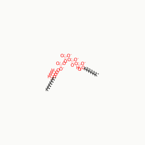 O.O.O.O.O.[K+].[K+].[K+].[K+].[K+].[K+].[K+].[K+].[K+].[K+].[K+].[K+].[O-]B([O-])[O-].[O-]B([O-])[O-].[O-]B([O-])[O-].[O-]B([O-])[O-]